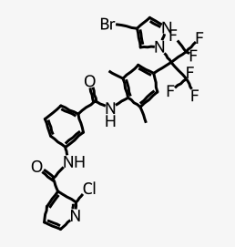 Cc1cc(C(n2cc(Br)cn2)(C(F)(F)F)C(F)(F)F)cc(C)c1NC(=O)c1cccc(NC(=O)c2cccnc2Cl)c1